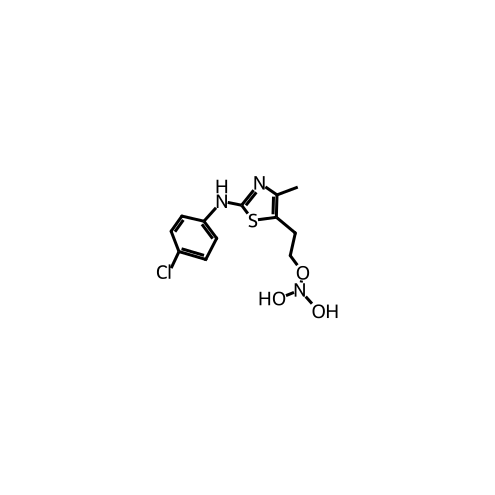 Cc1nc(Nc2ccc(Cl)cc2)sc1CCON(O)O